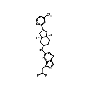 FC(F)Cn1ncc2ncc(N[C@@H]3CC[C@@H]4CN(c5cc(C(F)(F)F)ccn5)C[C@@H]4C3)nc21